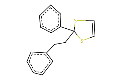 C1=CSC(CCc2ccccc2)(c2ccccc2)S1